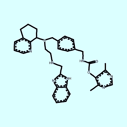 Cc1ncnc(C)c1OC(=O)NCc1ccc(CN(CCNCc2nc3ccccc3[nH]2)C2CCCc3cccnc32)cc1